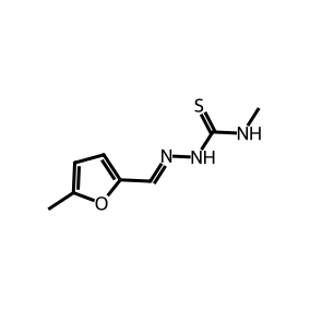 CNC(=S)N/N=C/c1ccc(C)o1